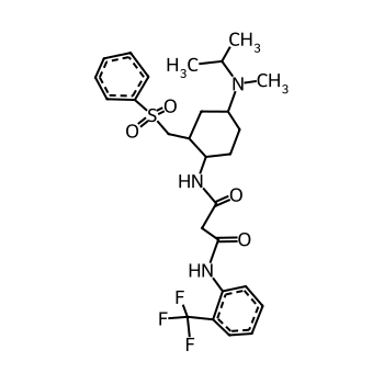 CC(C)N(C)C1CCC(NC(=O)CC(=O)Nc2ccccc2C(F)(F)F)C(CS(=O)(=O)c2ccccc2)C1